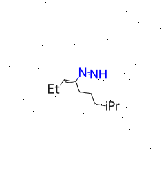 CC/C=C(\CCCC(C)C)N=N